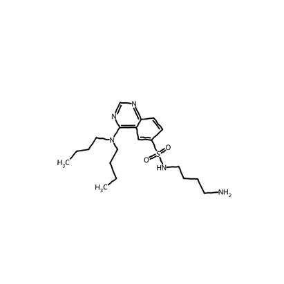 CCCCN(CCCC)c1ncnc2ccc(S(=O)(=O)NCCCCN)cc12